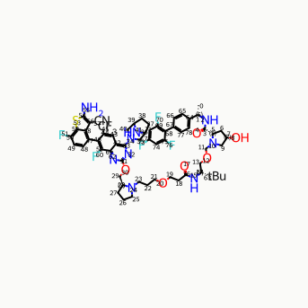 C[C@H](NC(=O)[C@@H]1C[C@@H](O)CN1COC[C@@H](NC(=O)CCOCCCN1CCC[C@H]1COc1nc(N2CC3CCC(C2)N3)c2cc(C(F)(F)F)c(-c3ccc(F)c4sc(N)c(C#N)c34)c(F)c2n1)C(C)(C)C)c1ccc(-c2c(F)cc(F)cc2F)cc1